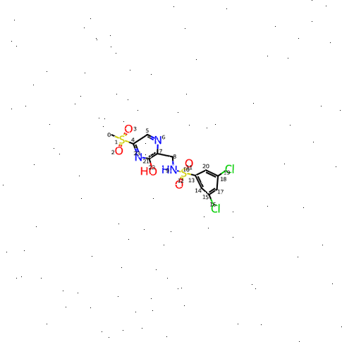 CS(=O)(=O)c1cnc(CNS(=O)(=O)c2cc(Cl)cc(Cl)c2)c(O)n1